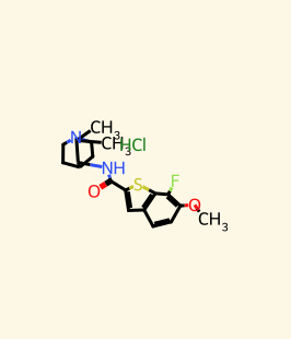 COc1ccc2cc(C(=O)NC3C4CCN(CC4)C3(C)C)sc2c1F.Cl